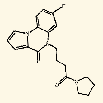 O=C(CCCn1c(=O)c2cccn2c2ccc(F)cc21)N1CCCC1